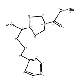 CNC(CCCc1ccncc1)C1CCN(C(=O)OC(C)(C)C)CC1